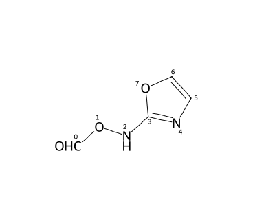 O=CONc1ncco1